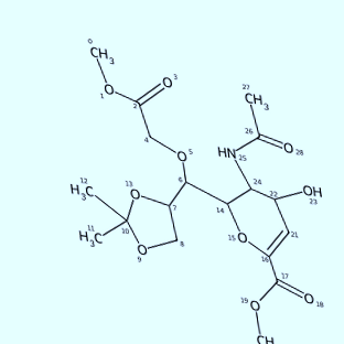 COC(=O)COC(C1COC(C)(C)O1)C1OC(C(=O)OC)=CC(O)C1NC(C)=O